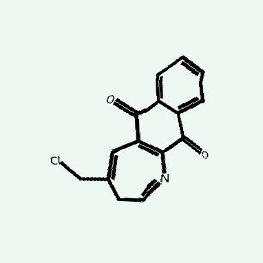 O=C1C2=C(N=CCC(CCl)=C2)C(=O)c2ccccc21